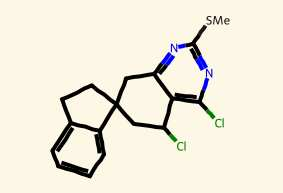 CSc1nc(Cl)c2c(n1)CC1(CCc3ccccc31)CC2Cl